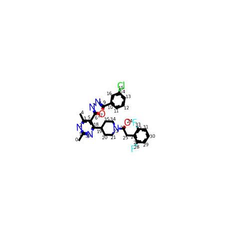 Cc1nc(C)c(-c2nnc(-c3cccc(Cl)c3)o2)c(C2CCN(C(=O)Cc3c(F)cccc3F)CC2)n1